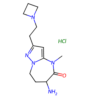 CN1C(=O)C(N)CCn2nc(CCN3CCC3)cc21.Cl